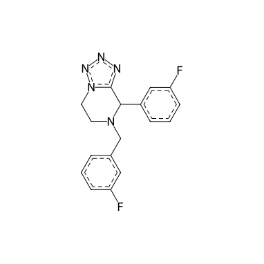 Fc1cccc(CN2CCn3nnnc3C2c2cccc(F)c2)c1